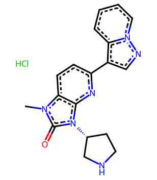 Cl.Cn1c(=O)n([C@@H]2CCNC2)c2nc(-c3cnn4ccccc34)ccc21